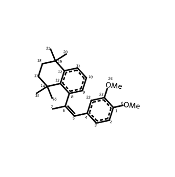 COc1ccc(/C=C(/C)c2cccc3c2C(C)(C)CCC3(C)C)cc1OC